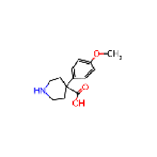 COc1ccc(C2(C(=O)O)CCNCC2)cc1